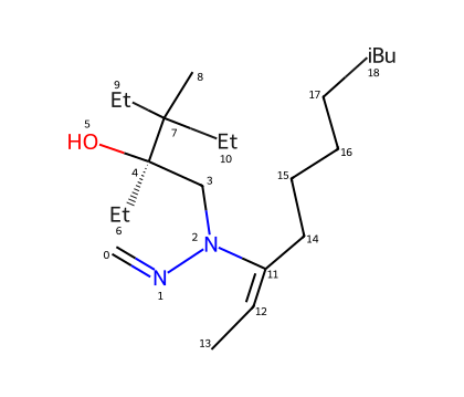 C=NN(C[C@](O)(CC)C(C)(CC)CC)/C(=C\C)CCCCC(C)CC